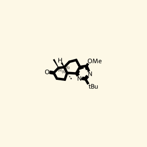 COc1nc(C(C)(C)C)nc2c1CC[C@H]1[C@H](C)C(=O)CC[C@]21C